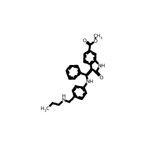 CCCNCc1ccc(N/C(=C2\C(=O)Nc3cc(C(=O)OC)ccc32)c2ccccc2)cc1